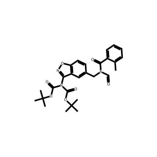 Cc1ccccc1C(=O)N(C=O)Cc1ccc2onc(N(C(=O)OC(C)(C)C)C(=O)OC(C)(C)C)c2c1